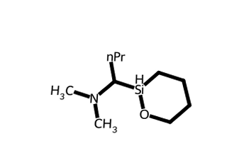 CCCC(N(C)C)[SiH]1CCCCO1